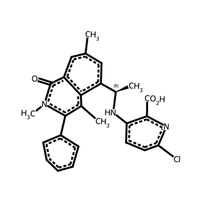 Cc1cc([C@@H](C)Nc2ccc(Cl)nc2C(=O)O)c2c(C)c(-c3ccccc3)n(C)c(=O)c2c1